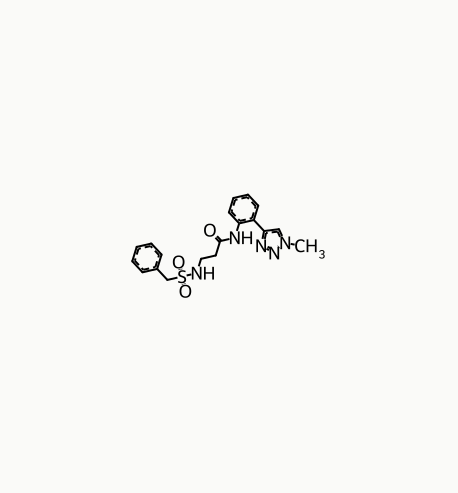 Cn1cc(-c2ccccc2NC(=O)CCNS(=O)(=O)Cc2ccccc2)nn1